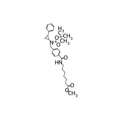 COC(=O)CCCCCCNC(=O)c1ccc(CN(C(=O)OC(C)(C)C)C2CC2c2ccccc2)cc1